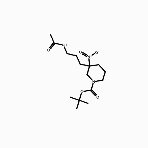 CC(=O)NCCCC1([N+](=O)[O-])CCCN(C(=O)OC(C)(C)C)C1